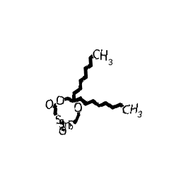 CCCCCCCCC1(CCCCCCCC)COC(=O)C[S][Sn](=[O])[S]CCO1